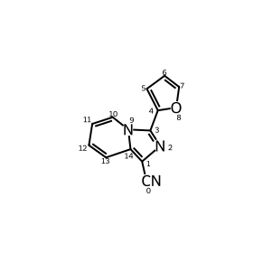 N#Cc1nc(-c2ccco2)n2ccccc12